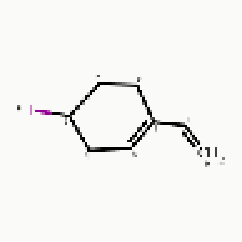 C=CC1=CCC(I)CC1